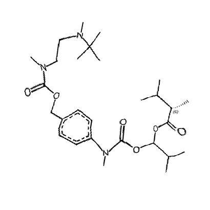 CC(C)C(OC(=O)[C@@H](C)C(C)C)OC(=O)N(C)c1ccc(COC(=O)N(C)CCN(C)C(C)(C)C)cc1